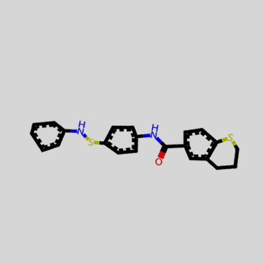 O=C(Nc1ccc(SNc2ccccc2)cc1)c1ccc2c(c1)CCCS2